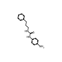 Nc1ccc(NC(=S)NCCCc2ccccc2)cc1